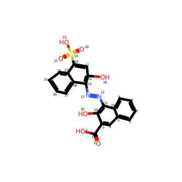 O=C(O)c1cc2ccccc2c(N=Nc2c(O)cc(S(=O)(=O)O)c3ccccc23)c1O